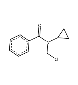 O=C(c1ccccc1)N(CCl)C1CC1